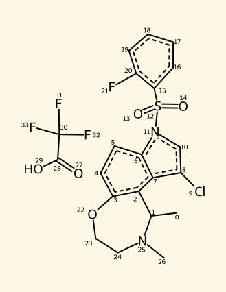 CC1c2c(ccc3c2c(Cl)cn3S(=O)(=O)c2ccccc2F)OCCN1C.O=C(O)C(F)(F)F